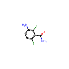 NC(=O)c1c(F)ccc(N)c1F